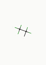 FC([SiH3])(Cl)C(F)(Cl)Cl